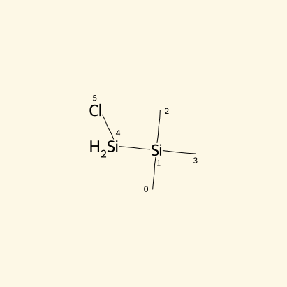 C[Si](C)(C)[SiH2]Cl